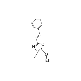 CCOc1oc(C=Cc2ccccc2)nc1C